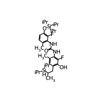 Cc1ccc(O[Si](C(C)C)(C(C)C)C(C)C)c(F)c1NC(=O)Nc1c(C)cc(CC(C)[SiH](C(C)C)C(C)C)c(O)c1F